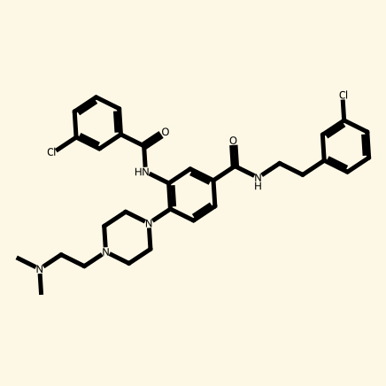 CN(C)CCN1CCN(c2ccc(C(=O)NCCc3cccc(Cl)c3)cc2NC(=O)c2cccc(Cl)c2)CC1